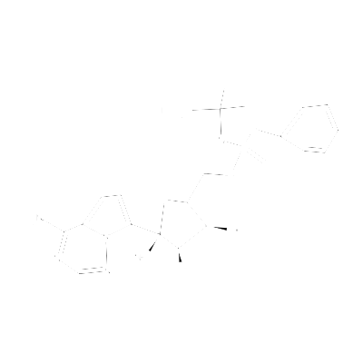 CCOC(=O)C(C)(C)NP(=O)(OCC1O[C@@](C#N)(c2ccc3c(N)ncnn23)[C@H](O)[C@@H]1O)Oc1ccccc1